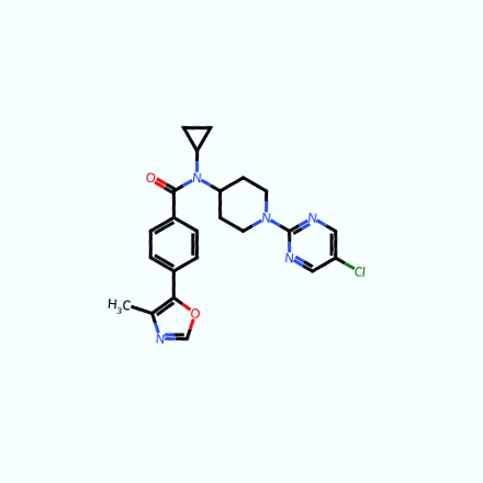 Cc1ncoc1-c1ccc(C(=O)N(C2CC2)C2CCN(c3ncc(Cl)cn3)CC2)cc1